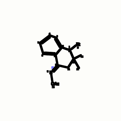 CCN1c2ccccc2/C(=N/OC(C)=O)CC1(C)C